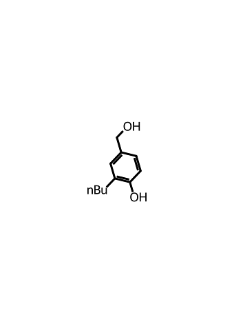 CCCCc1cc(CO)ccc1O